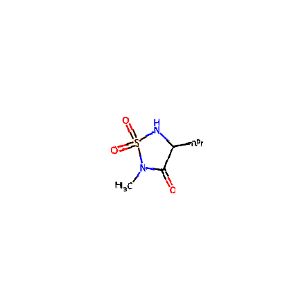 CCCC1NS(=O)(=O)N(C)C1=O